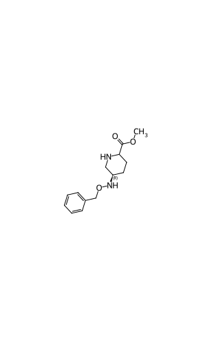 COC(=O)C1CC[C@@H](NOCc2ccccc2)CN1